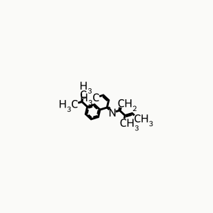 C=C(/N=C(\C=C/C)c1cccc(C(C)C)c1)/C(C)=C/C